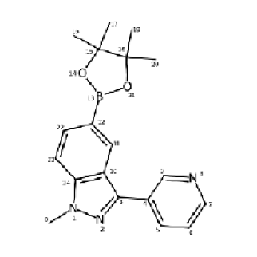 Cn1nc(-c2cccnc2)c2cc(B3OC(C)(C)C(C)(C)O3)ccc21